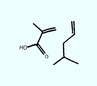 C=C(C)C(=O)O.C=CCC(C)C